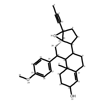 CC#CC12CCC3C4CCC5=CC(O)CCC5(C)C4C(c4ccc(OC)cc4)C[C@@]31O2